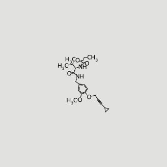 CCS(=O)(=O)NC(C(=O)NCc1ccc(OCC#CC2CC2)c(OC)c1)C(C)C